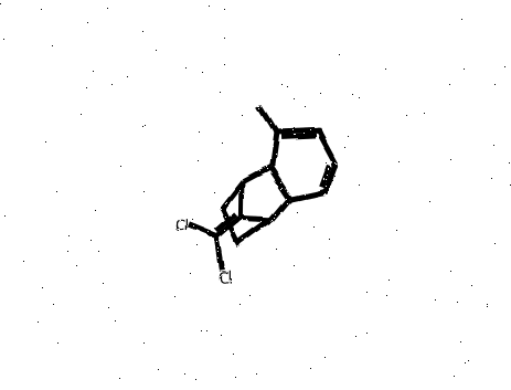 CC1=CC=CC2C3CCC(C3=C(Cl)Cl)C12